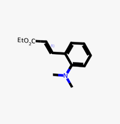 CCOC(=O)/C=C/c1ccccc1N(C)C